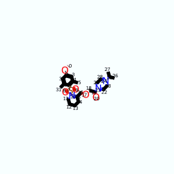 COc1cc(C)c(S(=O)(=O)N2CCCCC2COCC(=O)N2CCN(C(C)C)CC2)c(C)c1